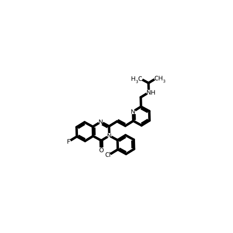 CC(C)NCc1cccc(C=Cc2nc3ccc(F)cc3c(=O)n2-c2ccccc2Cl)n1